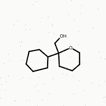 OCC1(C2CCCCC2)CCCCO1